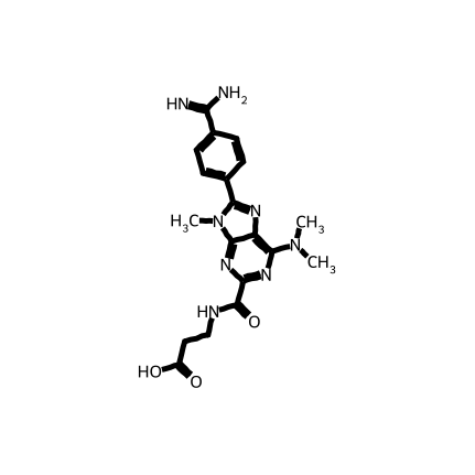 CN(C)c1nc(C(=O)NCCC(=O)O)nc2c1nc(-c1ccc(C(=N)N)cc1)n2C